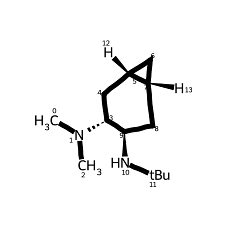 CN(C)[C@@H]1C[C@@H]2C[C@@H]2C[C@H]1NC(C)(C)C